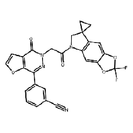 N#Cc1cccc(-c2nn(CC(=O)N3CC4(CC4)c4cc5c(cc43)OC(F)(F)O5)c(=O)c3ccoc23)c1